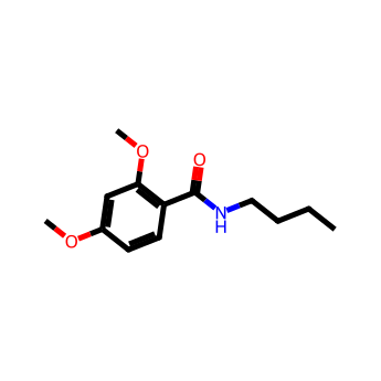 CCCCNC(=O)c1ccc(OC)cc1OC